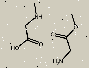 CNCC(=O)O.COC(=O)CN